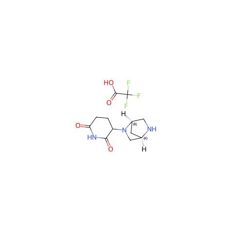 O=C(O)C(F)(F)F.O=C1CCC(N2C[C@H]3C[C@@H]2CN3)C(=O)N1